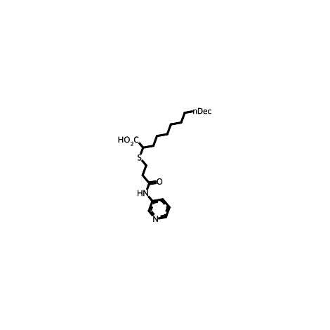 CCCCCCCCCCCCCCCCC(SCCC(=O)Nc1cccnc1)C(=O)O